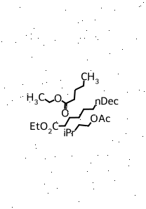 CC(=O)OCCC(C)C.CCCCC(=O)OCC.CCCCCCCCCCCCCCCC(=O)OCC